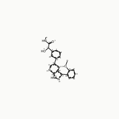 CNC(=O)C(O)c1cccc(-c2cnc3[nH]nc(-c4ccccc4OC)c3c2)c1